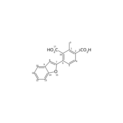 Cc1c(C(=O)O)ccc(-c2cc3ccccc3o2)c1C(=O)O